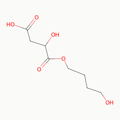 O=C(O)CC(O)C(=O)OCCCCO